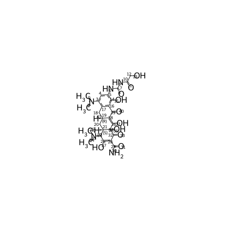 CN(C)c1cc(NC(=O)NC(=O)CO)c(O)c2c1C[C@H]1C[C@H]3[C@H](N(C)C)C(O)=C(C(N)=O)C(=O)[C@@]3(O)C(O)=C1C2=O